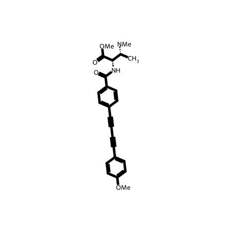 CN[C@H](C)[C@H](NC(=O)c1ccc(C#CC#Cc2ccc(OC)cc2)cc1)C(=O)OC